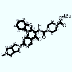 CN1CC2CN(c3ncc4c(=O)c(NC(=O)N5CCN(C(=O)OC(C)(C)C)CC5)c5sc6ccccc6n5c4n3)CC2C1